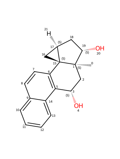 C[C@]12C[C@H](O)c3c(ccc4c[c]ccc34)[C@@]13C[C@H]3C[C@@H]2O